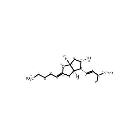 CCCCC[C@@H](C)/C=C/[C@@H]1[C@H]2C/C(=C/CCCC(=O)O)O[C@@H]2C[C@@H]1O